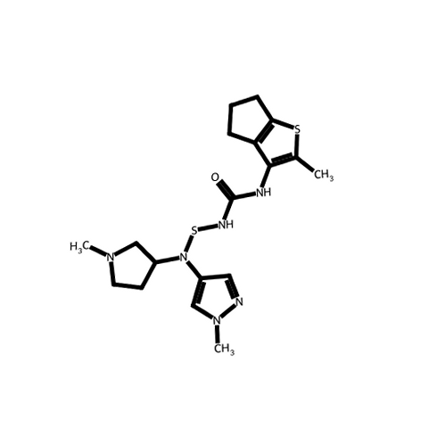 Cc1sc2c(c1NC(=O)NSN(c1cnn(C)c1)C1CCN(C)C1)CCC2